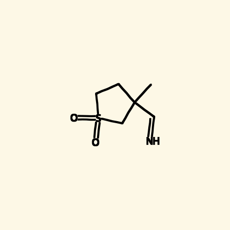 CC1(C=N)CCS(=O)(=O)C1